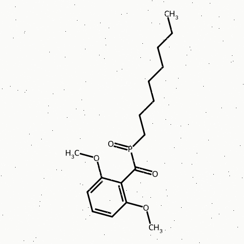 CCCCCCCC[P](=O)C(=O)c1c(OC)cccc1OC